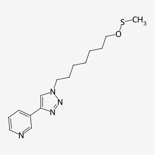 CSOCCCCCCCn1cc(-c2cccnc2)nn1